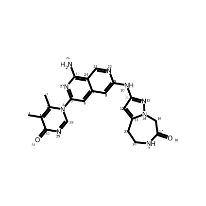 Cc1c(C)n(-c2cc3cc(Nc4cc5n(n4)CC(=O)NCC5)ncc3c(N)n2)cnc1=O